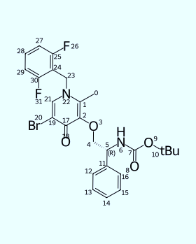 Cc1c(OC[C@H](NC(=O)OC(C)(C)C)c2ccccc2)c(=O)c(Br)cn1Cc1c(F)cccc1F